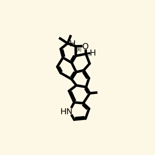 CC1=C2C=C3C[C@H]4O[C@H]5C4=c4c3c(ccc4=CC5(C)C)C2C=C2NC=CC=C21